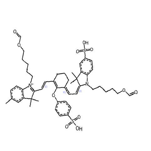 Cc1ccc2c(c1)C(C)(C)C(/C=C/C1=C(Oc3ccc(S(=O)(=O)O)cc3)C(=C/C=C3/N(CCCCCOC=O)c4ccc(S(=O)(=O)O)cc4C3(C)C)/CCC1)=[N+]2CCCCCOC=O